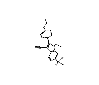 CCOc1ccc(-c2c(C#N)c3ccc(C(F)(F)F)cc3n2CC)cc1